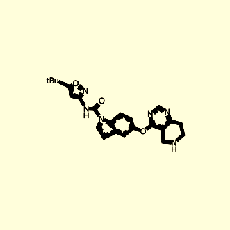 CC(C)(C)c1cc(NC(=O)n2ccc3cc(Oc4ncnc5c4CNCC5)ccc32)no1